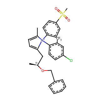 CC1=CC=C(C[C@H](C)OCc2ccccc2)[N+]1(c1ccc(S(C)(=O)=O)cc1)c1ccc(Cl)cc1C(F)(F)F